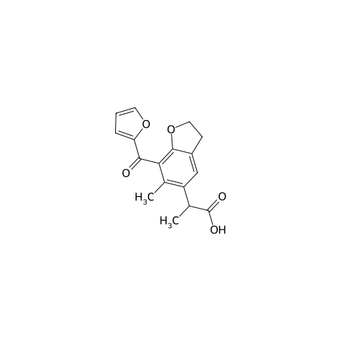 Cc1c(C(C)C(=O)O)cc2c(c1C(=O)c1ccco1)OCC2